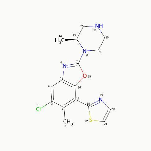 Cc1c(Cl)cc2nc(N3CCNC[C@@H]3C)oc2c1-c1nccs1